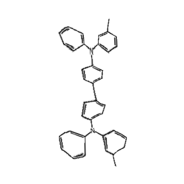 Cc1cccc(N(c2ccccc2)c2ccc(-c3ccc(N(C4=CC(C)CC=C4)c4ccccc4)cc3)cc2)c1